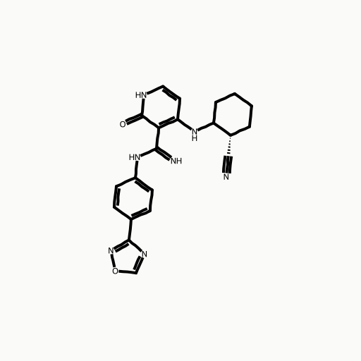 N#C[C@H]1CCCCC1Nc1cc[nH]c(=O)c1C(=N)Nc1ccc(-c2ncon2)cc1